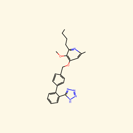 CCCCc1nc(C)cc(OCc2ccc(-c3ccccc3-c3nnn[nH]3)cc2)c1OC